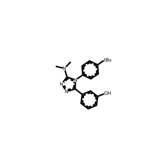 CN(C)c1nnc(-c2cccc(O)c2)n1-c1ccc(C(C)(C)C)cc1